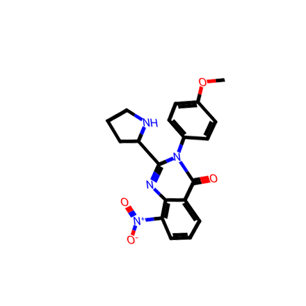 COc1ccc(-n2c(C3CCCN3)nc3c([N+](=O)[O-])cccc3c2=O)cc1